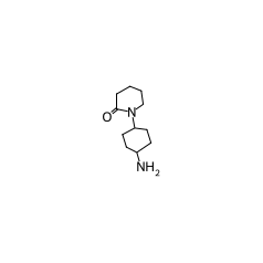 NC1CCC(N2CCCCC2=O)CC1